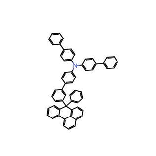 c1ccc(-c2ccc(N(c3ccc(-c4ccccc4)cc3)c3ccc(-c4cccc(C5(c6ccccc6)c6ccccc6-c6cccc7cccc5c67)c4)cc3)cc2)cc1